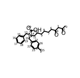 CC(=O)CC(=O)CCCCCC[N+](Cc1ccccc1)(Cc1ccc(I)cc1)C(=O)O